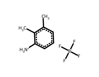 Cc1cccc([NH3+])c1C.F[B-](F)(F)F